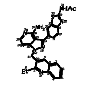 CCc1nc2ccccc2cc1Cn1nc(-c2ccc3nc(NC(C)=O)sc3c2)c2c(N)ncnc21